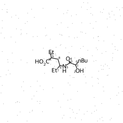 CCCCC(O)C(=O)NC(CC)CC(CC)C(=O)O